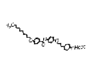 C=CCCCCCCCCOc1ccc(C(=O)Oc2ccc(OCCCC3CCC(CCCCCCC)CC3)cc2)cc1